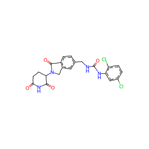 O=C1CCC(N2Cc3cc(CNC(=O)Nc4cc(Cl)ccc4Cl)ccc3C2=O)C(=O)N1